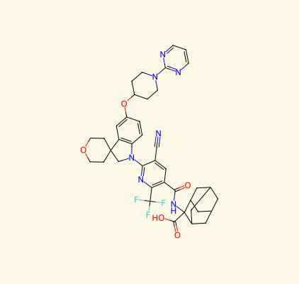 N#Cc1cc(C(=O)NC2(C(=O)O)C3CC4CC(C3)CC2C4)c(C(F)(F)F)nc1N1CC2(CCOCC2)c2cc(OC3CCN(c4ncccn4)CC3)ccc21